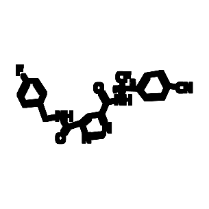 N#Cc1ccc([C@@H](NC(=O)c2cc(C(=O)NCc3ccc(F)cc3)ncn2)C(F)(F)F)cc1